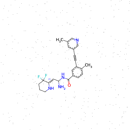 Cc1cncc(C#Cc2cc(C(=O)NC(N)/C=C3\NCCCC3(F)F)ccc2C)c1